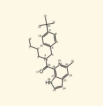 CCCCN(Cc1ccc(C(C)(C)C)cc1)C(=O)c1nc(C)cc2cc[nH]c12